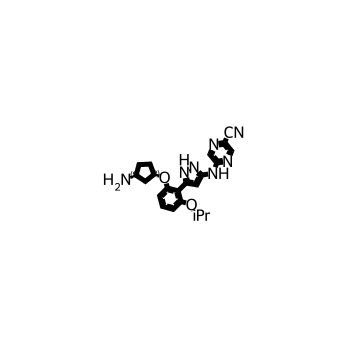 CC(C)Oc1cccc(O[C@@H]2CC[C@H](N)C2)c1-c1cc(Nc2cnc(C#N)cn2)n[nH]1